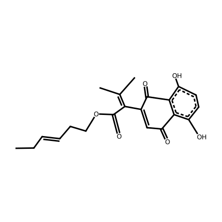 CCC=CCCOC(=O)C(C1=CC(=O)c2c(O)ccc(O)c2C1=O)=C(C)C